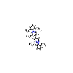 Cc1c[n+](-c2c(C)cccc2C)ccc1-c1cc[n+](-c2c(C)cccc2C)cc1